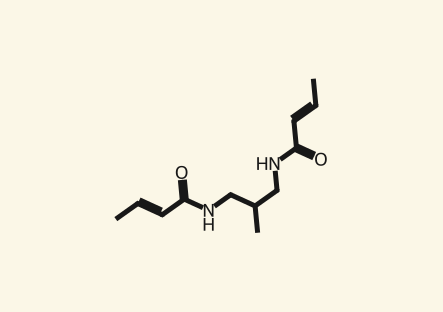 CC=CC(=O)NCC(C)CNC(=O)C=CC